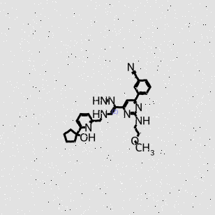 COCCNc1nc(/C(=C/NCc2cccc(C3(O)CCCC3)n2)N=N)cc(-c2cccc(C#N)c2)n1